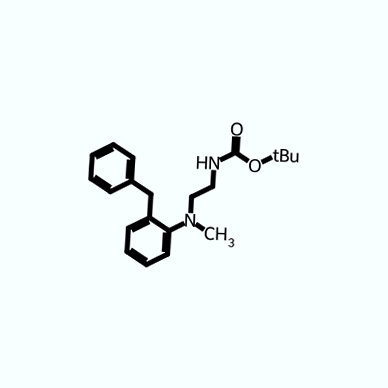 CN(CCNC(=O)OC(C)(C)C)c1ccccc1Cc1ccccc1